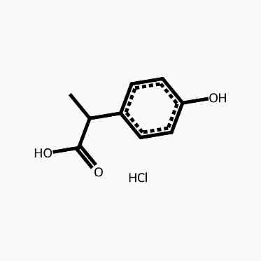 CC(C(=O)O)c1ccc(O)cc1.Cl